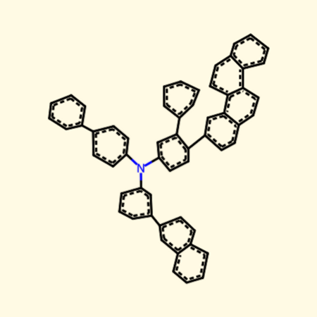 c1ccc(-c2ccc(N(c3cccc(-c4ccc5ccccc5c4)c3)c3ccc(-c4ccc5ccc6c7ccccc7ccc6c5c4)c(-c4ccccc4)c3)cc2)cc1